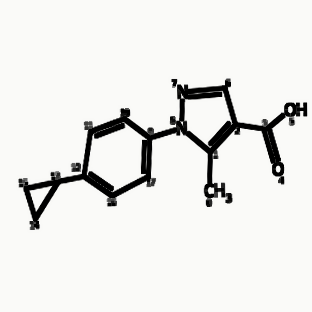 Cc1c(C(=O)O)cnn1-c1ccc(C2CC2)cc1